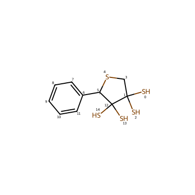 SC1(S)CS[C](c2ccccc2)C1(S)S